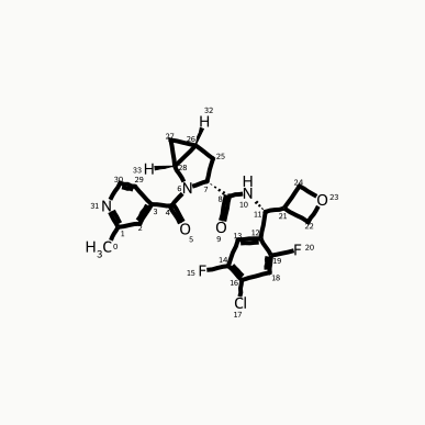 Cc1cc(C(=O)N2[C@@H](C(=O)N[C@@H](c3cc(F)c(Cl)cc3F)C3COC3)C[C@H]3C[C@H]32)ccn1